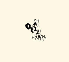 CC(C)(C)OC(=O)NC1=NC=C(c2ccccc2)N(CC(=O)O)C1